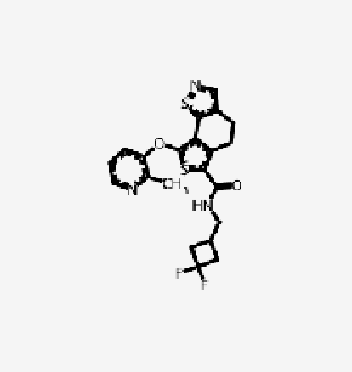 Cc1ncccc1Oc1sc(C(=O)NCC2CC(F)(F)C2)c2c1-c1sncc1CC2